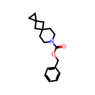 O=C(OCc1ccccc1)N1CCC2(CC1)CC1(CC1)C2